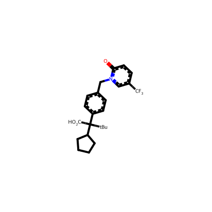 CC(C)(C)C(C(=O)O)(c1ccc(Cn2cc(C(F)(F)F)ccc2=O)cc1)C1CCCC1